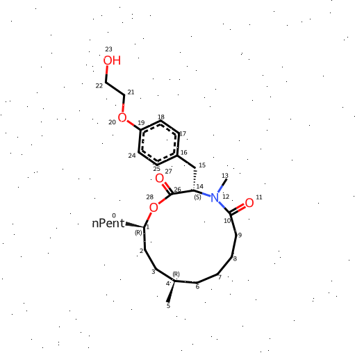 CCCCC[C@@H]1CC[C@H](C)CCCCC(=O)N(C)[C@@H](Cc2ccc(OCCO)cc2)C(=O)O1